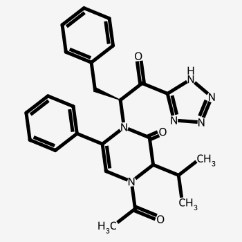 CC(=O)N1C=C(c2ccccc2)N([C@@H](Cc2ccccc2)C(=O)c2nnn[nH]2)C(=O)C1C(C)C